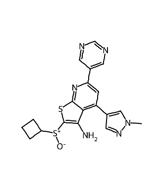 Cn1cc(-c2cc(-c3cncnc3)nc3sc([S+]([O-])C4CCC4)c(N)c23)cn1